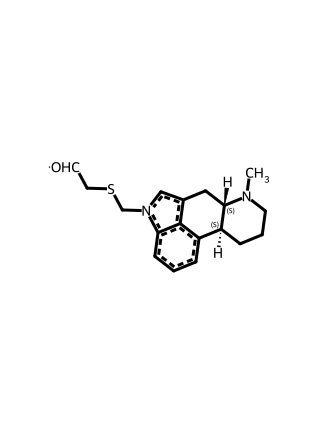 CN1CCC[C@H]2c3cccc4c3c(cn4CSC[C]=O)C[C@@H]21